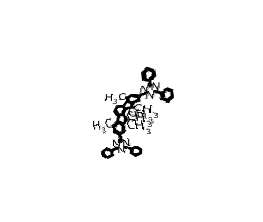 Cc1cc(-c2nc(-c3ccccc3)nc(-c3ccccc3)n2)cc2c1-c1ccc3c(c1C2(C)C)C(C)(C)c1cc(-c2nc(-c4ccccc4)nc(-c4ccccc4)n2)cc(C)c1-3